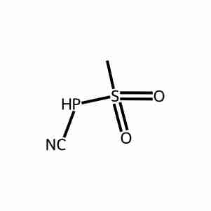 CS(=O)(=O)PC#N